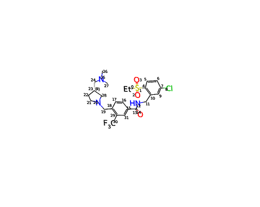 CCS(=O)(=O)c1ccc(Cl)cc1CNC(=O)c1ccc(CN2CC[C@H](CN(C)C)C2)c(C(F)(F)F)c1